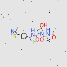 CC(=O)NC(C(=O)N1CC(O)CC1C(=O)NC(CF)c1ccc(-c2scnc2C)cc1)C(C)(C)C